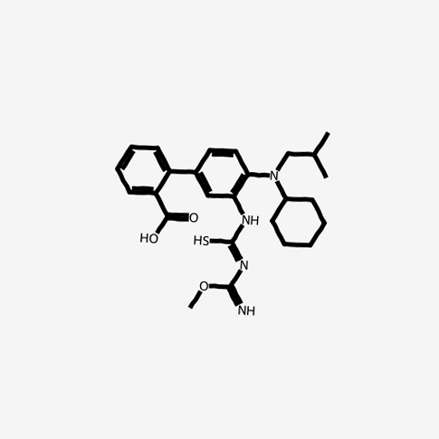 COC(=N)/N=C(\S)Nc1cc(-c2ccccc2C(=O)O)ccc1N(CC(C)C)C1CCCCC1